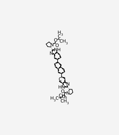 CC(C)OC(=O)N1CCC[C@H]1c1nc2cc(-c3ccc4cc(-c5ccc6[nH]c([C@@H]7CCCN7C(=O)OC(C)(C)C)nc6c5)ccc4c3)ccc2[nH]1